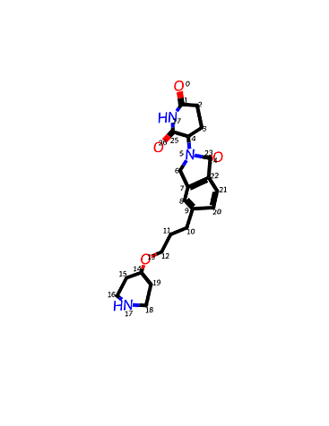 O=C1CCC(N2Cc3cc(CCCOC4CCNCC4)ccc3C2=O)C(=O)N1